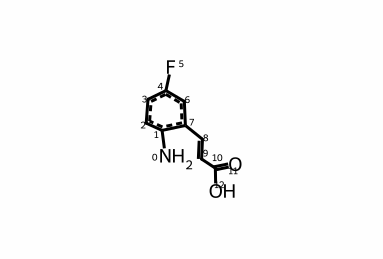 Nc1ccc(F)cc1/C=C/C(=O)O